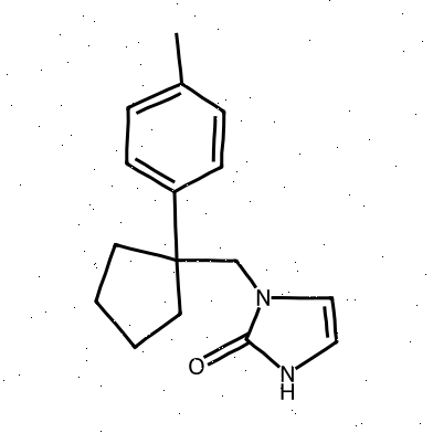 Cc1ccc(C2(Cn3cc[nH]c3=O)CCCC2)cc1